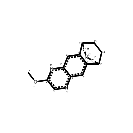 COc1cnc2cc3c(cc2n1)C1CCC3CNC1